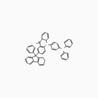 CC1(C)c2cc(C3(c4ccccc4)C4=C(C=CCC4)c4ccccc43)ccc2N(c2ccc(N(c3ccccc3)c3ccccc3)cc2)C2C=CC=CC21